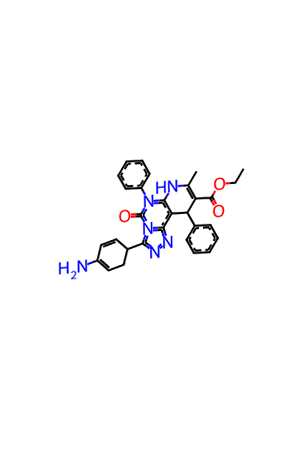 CCOC(=O)C1=C(C)Nc2c(c3nnc(C4C=CC(N)=CC4)n3c(=O)n2-c2ccccc2)C1c1ccccc1